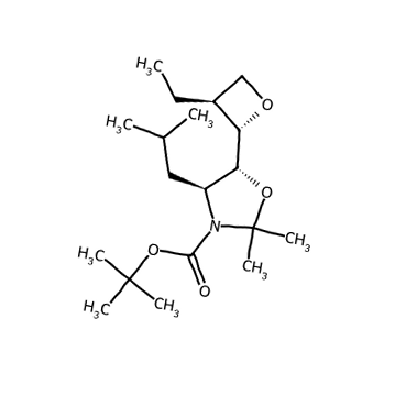 CC[C@H]1CO[C@@H]1[C@@H]1OC(C)(C)N(C(=O)OC(C)(C)C)[C@H]1CC(C)C